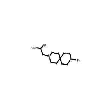 CCCCC(CCCC)CN1CCC2(CCN(C)CC2)CC1